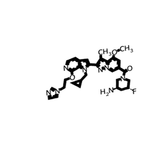 COc1cc(C(=O)N2C[C@H](N)C[C@@H](F)C2)cn2nc(-c3cc4ccnc(OCCn5ccnc5)c4n3CC3CC3)c(C)c12